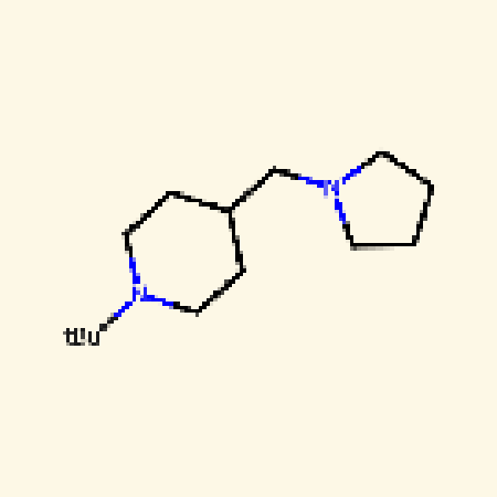 CC(C)(C)N1CCC(CN2CCCC2)CC1